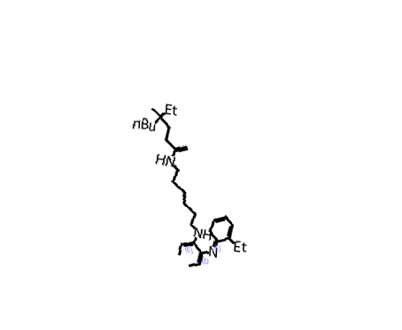 C=C(CCC(C)(CC)CCCC)NCCCCCCNC(=C/C)/C(=C\C)/N=C1\CC=CC=C1CC